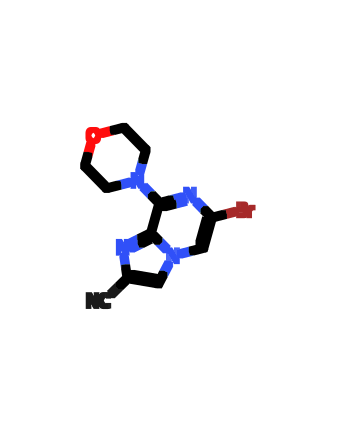 N#Cc1cn2cc(Br)nc(N3CCOCC3)c2n1